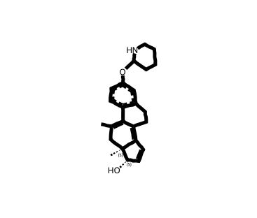 CC1=C2C(=C3C=C[C@H](O)[C@@]3(C)C1)CCc1cc(OC3CCCCN3)ccc12